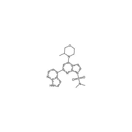 CC1COCCN1c1cc(-c2ccnc3[nH]ccc23)nc2c1ccn2S(=O)(=O)N(C)C